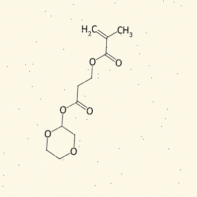 C=C(C)C(=O)OCCC(=O)OC1COCCO1